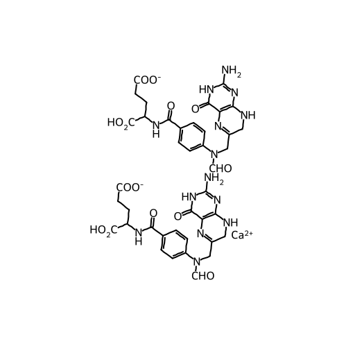 Nc1nc2c(c(=O)[nH]1)N=C(CN(C=O)c1ccc(C(=O)NC(CCC(=O)[O-])C(=O)O)cc1)CN2.Nc1nc2c(c(=O)[nH]1)N=C(CN(C=O)c1ccc(C(=O)NC(CCC(=O)[O-])C(=O)O)cc1)CN2.[Ca+2]